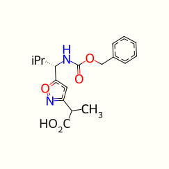 CC(C(=O)O)c1cc([C@@H](NC(=O)OCc2ccccc2)C(C)C)on1